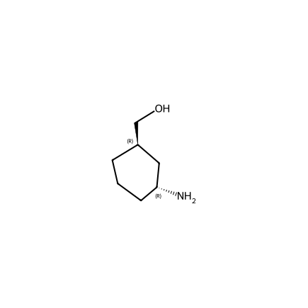 N[C@@H]1CCC[C@@H](CO)C1